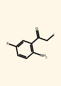 Nc1ccc(F)cc1C(=O)CI